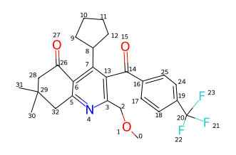 COCc1nc2c(c(C3CCCC3)c1C(=O)c1ccc(C(F)(F)F)cc1)C(=O)CC(C)(C)C2